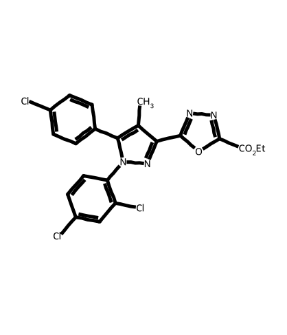 CCOC(=O)c1nnc(-c2nn(-c3ccc(Cl)cc3Cl)c(-c3ccc(Cl)cc3)c2C)o1